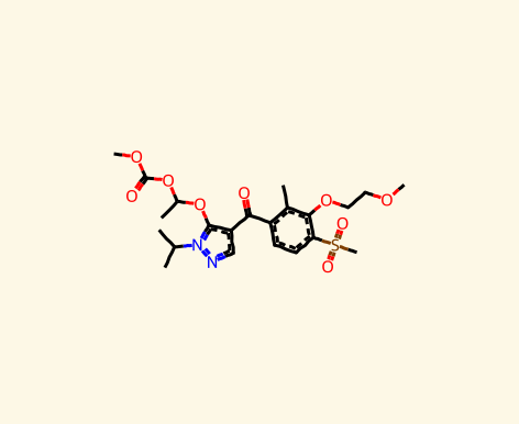 COCCOc1c(S(C)(=O)=O)ccc(C(=O)c2cnn(C(C)C)c2OC(C)OC(=O)OC)c1C